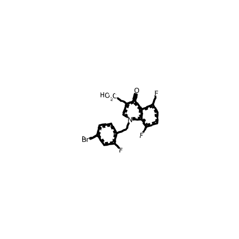 O=C(O)c1cn(Cc2ccc(Br)cc2F)c2c(F)ccc(F)c2c1=O